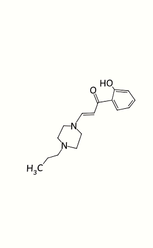 CCCN1CCN(C=CC(=O)c2ccccc2O)CC1